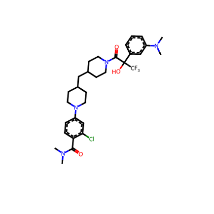 CN(C)C(=O)c1ccc(N2CCC(CC3CCN(C(=O)C(O)(c4cccc(N(C)C)c4)C(F)(F)F)CC3)CC2)cc1Cl